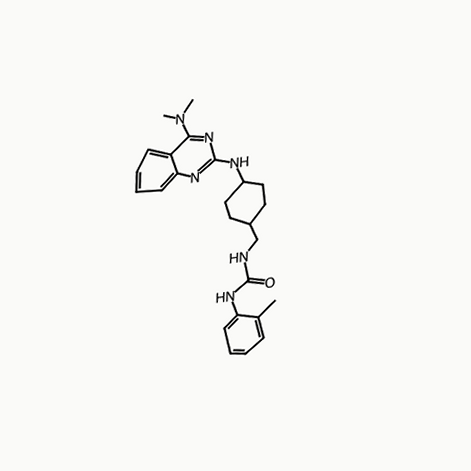 Cc1ccccc1NC(=O)NCC1CCC(Nc2nc(N(C)C)c3ccccc3n2)CC1